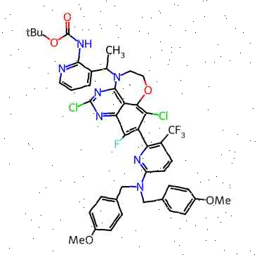 COc1ccc(CN(Cc2ccc(OC)cc2)c2ccc(C(F)(F)F)c(-c3c(Cl)c4c5c(nc(Cl)nc5c3F)N(C(C)c3cccnc3NC(=O)OC(C)(C)C)CCO4)n2)cc1